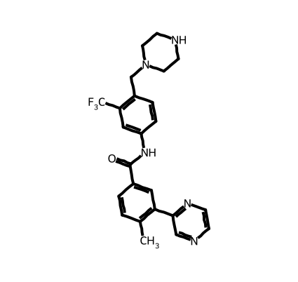 Cc1ccc(C(=O)Nc2ccc(CN3CCNCC3)c(C(F)(F)F)c2)cc1-c1cnccn1